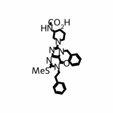 CSc1nc2nc(N3CCCC(NC(=O)O)C3)n(Cc3ccccc3)c2c(=O)n1CCc1ccccc1